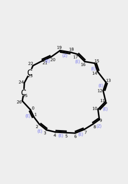 [C]1=C/C=C/C=C/C=C/C=C\C=C\C=C\C=C\C=C\C=C/C=C/CCCCC/1